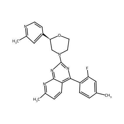 Cc1ccc(-c2nc(N3CCO[C@H](c4ccnc(C)c4)C3)nc3nc(C)ccc23)c(F)c1